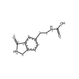 O=C(O)NCCc1ccc2c(c1)C(=O)NC2